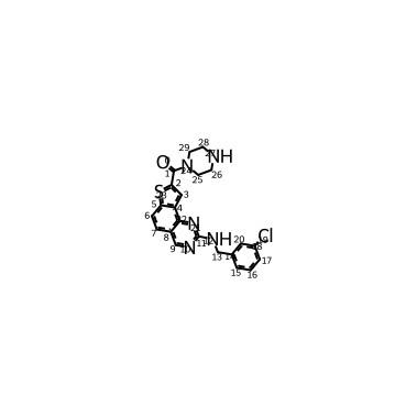 O=C(c1cc2c(ccc3cnc(NCc4cccc(Cl)c4)nc32)s1)N1CCNCC1